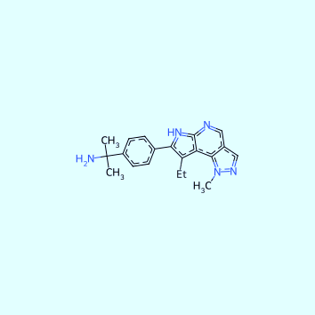 CCc1c(-c2ccc(C(C)(C)N)cc2)[nH]c2ncc3cnn(C)c3c12